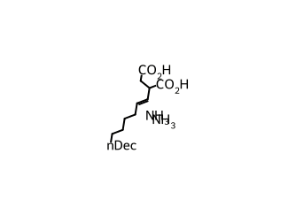 CCCCCCCCCCCCCCC=CC(CC(=O)O)C(=O)O.N.N